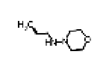 C=CCNN1CCOCC1